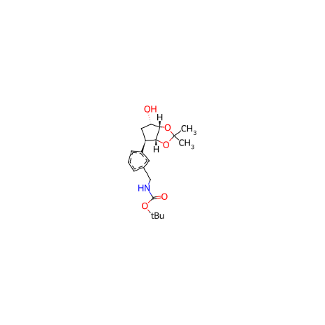 CC(C)(C)OC(=O)NCc1cccc([C@H]2C[C@H](O)[C@@H]3OC(C)(C)O[C@@H]32)c1